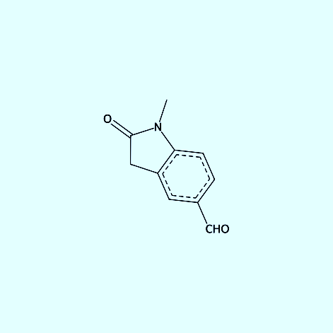 CN1C(=O)Cc2cc(C=O)ccc21